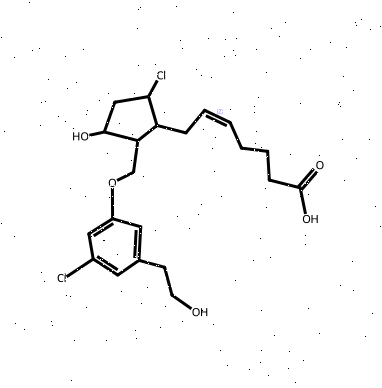 O=C(O)CCC/C=C\CC1C(Cl)CC(O)C1COc1cc(Cl)cc(CCO)c1